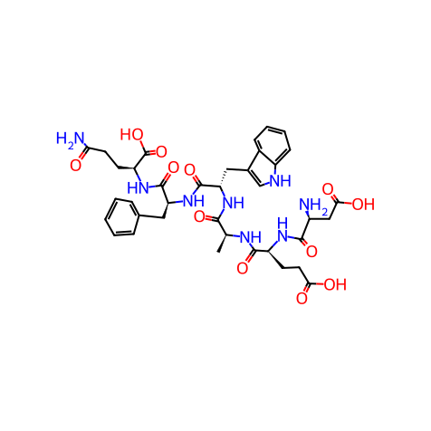 C[C@H](NC(=O)[C@H](CCC(=O)O)NC(=O)[C@@H](N)CC(=O)O)C(=O)N[C@@H](Cc1c[nH]c2ccccc12)C(=O)N[C@@H](Cc1ccccc1)C(=O)N[C@@H](CCC(N)=O)C(=O)O